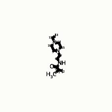 CC(I)C(=O)NCCN1CCN(CI)CC1